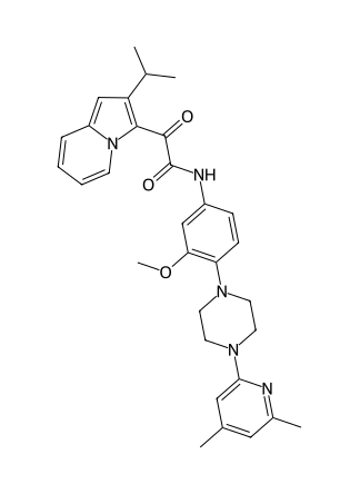 COc1cc(NC(=O)C(=O)c2c(C(C)C)cc3ccccn23)ccc1N1CCN(c2cc(C)cc(C)n2)CC1